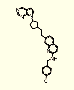 Clc1ccc(CNc2ccc3ccc(CCC4CCC(n5ccc6cncnc65)C4)cc3n2)cc1